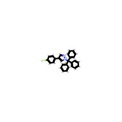 Fc1ccc(-c2cnn(C(c3ccccc3)(c3ccccc3)c3ccccc3)c2)cc1